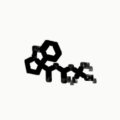 CC(C)(C)OC(=O)OC(=O)C1(c2ccccc2)CCCN1O